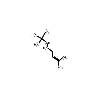 CC(C)=CC[SiH2]NC(C)(C)C